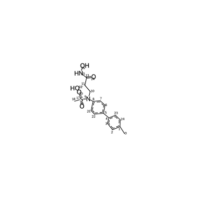 Cc1ccc(-c2ccc(N(C[C@H](O)C(=O)NO)S(C)(=O)=O)cc2)cc1